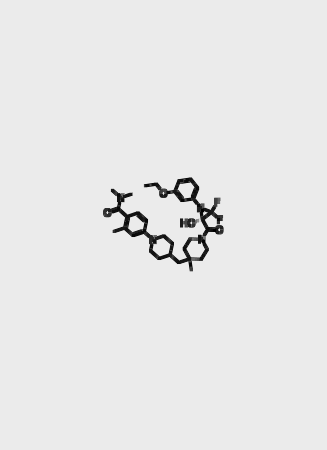 CCOc1cccc(N2C(F)(F)[C@@]2(O)C(=O)N2CCC(C)(CC3CCN(c4ccc(C(=O)N(C)C)c(C)c4)CC3)CC2)c1